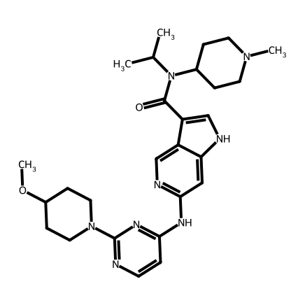 COC1CCN(c2nccc(Nc3cc4[nH]cc(C(=O)N(C(C)C)C5CCN(C)CC5)c4cn3)n2)CC1